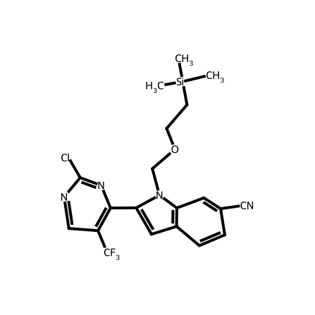 C[Si](C)(C)CCOCn1c(-c2nc(Cl)ncc2C(F)(F)F)cc2ccc(C#N)cc21